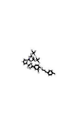 Cc1ccc(CCCOc2ccc(-c3noc([C@@H]4CCCN4/C(=N/C(=O)OC(C)(C)C)NC(=O)OC(C)(C)C)n3)cc2C)cc1